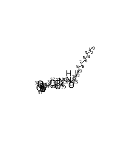 CCCCCCCCCCCCCCC(C)C(=O)NCCN(Cc1ccc(CC[Si](OC)(OC)OC)cc1)C(C)=O